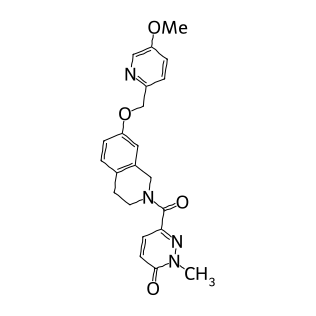 COc1ccc(COc2ccc3c(c2)CN(C(=O)c2ccc(=O)n(C)n2)CC3)nc1